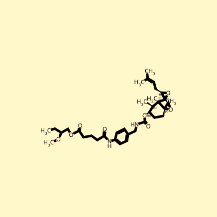 CCC(COC(=O)CCCC(=O)Nc1ccc(CNC(=O)O[C@@H]2CC[C@]3(CO3)[C@@](C)(C3(C)O[C@@H]3CC=C(C)C)[C@@H]2C)cc1)OC